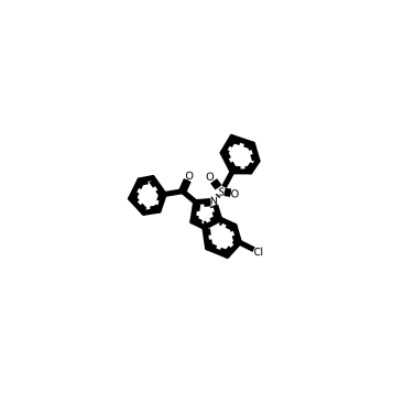 O=C(c1ccccc1)c1cc2ccc(Cl)cc2n1S(=O)(=O)c1ccccc1